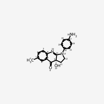 Cc1ccc2c(c1)C(=O)[C@]1(O)CCN(c3ccc(N)cc3)C1=N2